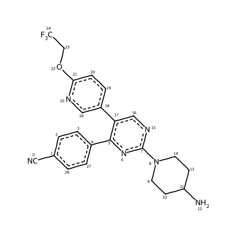 N#Cc1ccc(-c2nc(N3CCC(N)CC3)ncc2-c2ccc(OCC(F)(F)F)nc2)cc1